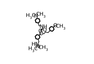 COc1ccc(CC(COc2cccc(CNN(C)C)c2)OC(=O)NCc2ccc(N(C)C)cc2)cc1